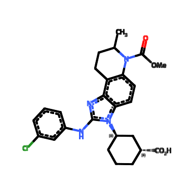 COC(=O)N1c2ccc3c(nc(Nc4cccc(Cl)c4)n3[C@@H]3CCC[C@@H](C(=O)O)C3)c2CCC1C